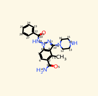 Cc1c(C(N)=O)ccc2c1c(N1CCNCC1)nn2NC(=O)c1ccccc1